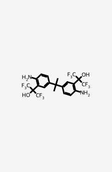 CC(C)(c1ccc(N)c(C(O)(C(F)(F)F)C(F)(F)F)c1)c1ccc(N)c(C(O)(C(F)(F)F)C(F)(F)F)c1